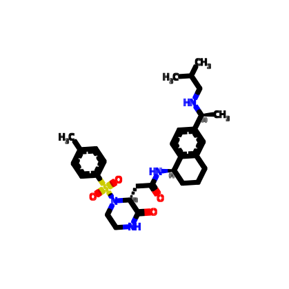 Cc1ccc(S(=O)(=O)N2CCNC(=O)[C@H]2CC(=O)N[C@@H]2CCCc3cc([C@H](C)NCC(C)C)ccc32)cc1